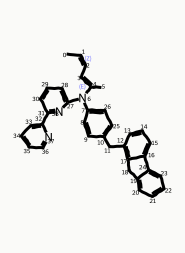 C/C=C\C=C(/C)N(c1ccc(Cc2cccc3c2Cc2ccccc2-3)cc1)c1cccc(-c2ccccn2)n1